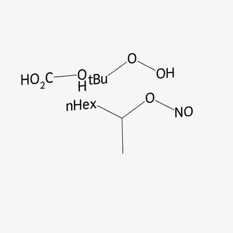 CC(C)(C)OO.CCCCCCC(C)ON=O.O=C(O)O